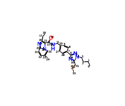 CCCCn1nc(-c2ccc(CNC(=O)c3c(CC)nc4ccc(C)cn34)cc2)nc1CSC